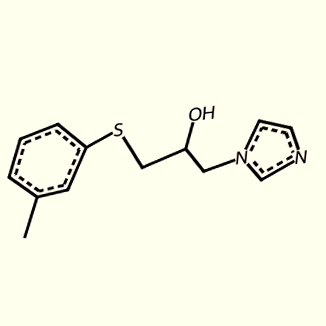 Cc1cccc(SCC(O)Cn2ccnc2)c1